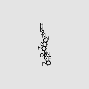 O=c1n(Cc2c(F)cccc2F)cnn1-c1ccc(Oc2cc(N3CC4(CNC4)C3)ncc2F)c(F)c1